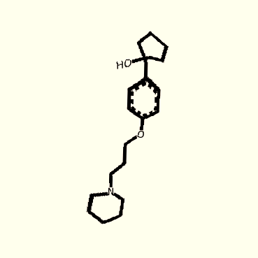 OC1(c2ccc(OCCCN3CCCCC3)cc2)CCCC1